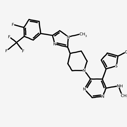 CNc1ncnc(N2CCC(c3nc(-c4ccc(F)c(C(F)(F)F)c4)cn3C)CC2)c1-c1ccc(C)s1